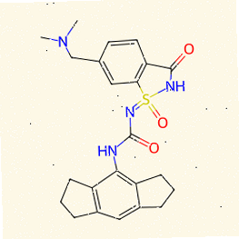 CN(C)Cc1ccc2c(c1)S(=O)(=NC(=O)Nc1c3c(cc4c1CCC4)CCC3)NC2=O